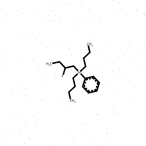 CCC[CH2][Sn]([CH2]CCC)([CH2]C(F)CC)[c]1ccccc1